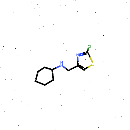 Clc1nc(CNC2CCCCC2)cs1